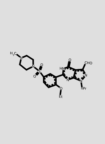 CCCn1nc(C=O)c2c(=O)[nH]c(-c3cc(S(=O)(=O)N4CCN(C)CC4)ccc3OCC)nc21